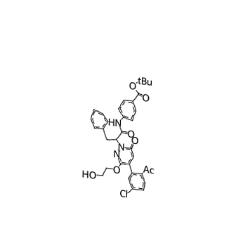 CC(=O)c1ccc(Cl)cc1-c1cc(=O)n(C(Cc2ccccc2)C(=O)Nc2ccc(C(=O)OC(C)(C)C)cc2)nc1OCCO